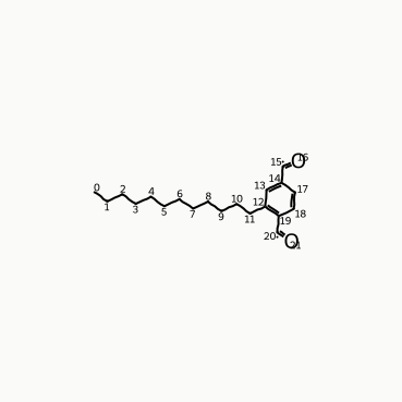 CCCCCCCCCCCCc1cc([C]=O)ccc1[C]=O